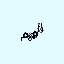 CCN1CCOC(c2ccc(NS(=O)(=O)c3cccc(F)c3)cc2)C1